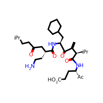 C=C(C(=O)[C@H](CC1CCCCC1)NC(=O)[C@H](CCN)CC(=O)CCC(C)C)[C@H](C(=O)N[C@@H](CCC(=O)O)C(C)=O)C(C)C